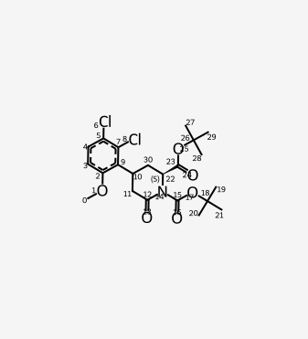 COc1ccc(Cl)c(Cl)c1C1CC(=O)N(C(=O)OC(C)(C)C)[C@H](C(=O)OC(C)(C)C)C1